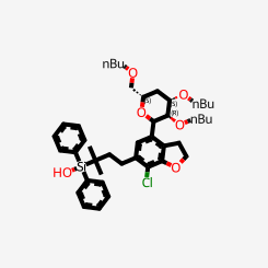 CCCCOC[C@@H]1C[C@H](OCCCC)[C@@H](OCCCC)C(c2cc(CCC(C)(C)[Si](O)(c3ccccc3)c3ccccc3)c(Cl)c3c2CCO3)O1